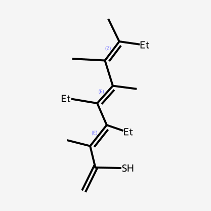 C=C(S)/C(C)=C(CC)/C(CC)=C(C)/C(C)=C(/C)CC